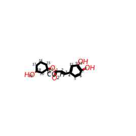 O=C(/C=C/c1ccc(O)c(O)c1)O[C@@]1(C(=O)O)CCC[C@H](O)C1